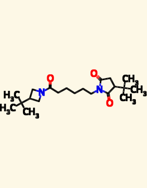 CC(C)(C)C1CN(C(=O)CCCCCN2C(=O)CC(C(C)(C)C)C2=O)C1